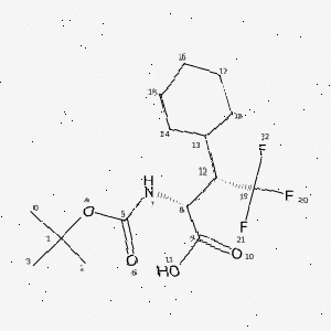 CC(C)(C)OC(=O)N[C@@H](C(=O)O)[C@H](C1CCCCC1)C(F)(F)F